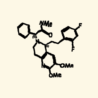 CNC(=O)[C@@H](c1ccccc1)N1CCc2nc(OC)c(OC)cc2[C@@H]1CCc1ccc(F)cc1F